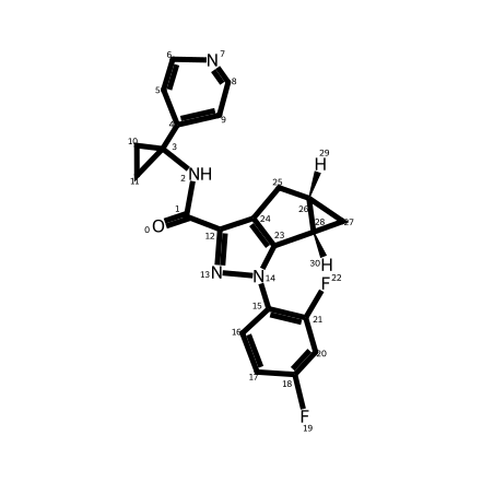 O=C(NC1(c2ccncc2)CC1)c1nn(-c2ccc(F)cc2F)c2c1C[C@@H]1C[C@H]21